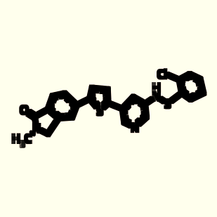 CN1Cc2cc(-c3ccc(-c4cncc(NSc5ccccc5Cl)c4)s3)ccc2C1=O